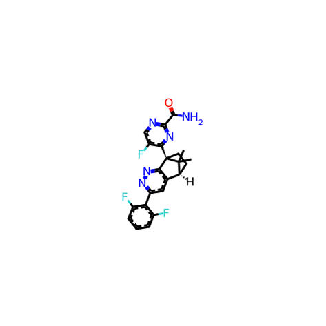 CC1(C)[C@H]2CC[C@@]1(c1nc(C(N)=O)ncc1F)c1nnc(-c3c(F)cccc3F)cc12